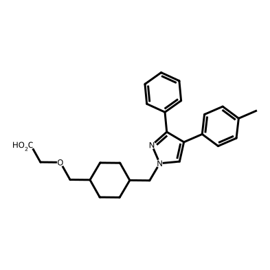 Cc1ccc(-c2cn(CC3CCC(COCC(=O)O)CC3)nc2-c2ccccc2)cc1